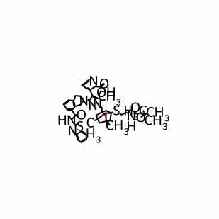 Cc1c(-c2cccnc2C(=O)O)c(N2CCc3cccc(C(=O)Nc4nc5ccccc5s4)c3C2)nn1CC12CC3(C)CC(C)(C1)CC(SCCNC(=O)OC(C)(C)C)(C3)C2